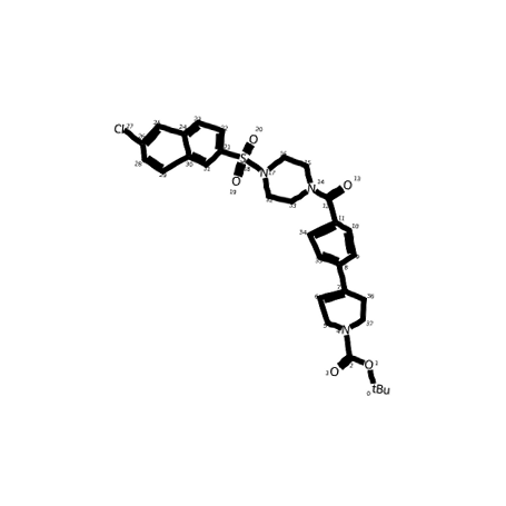 CC(C)(C)OC(=O)N1CC=C(c2ccc(C(=O)N3CCN(S(=O)(=O)c4ccc5cc(Cl)ccc5c4)CC3)cc2)CC1